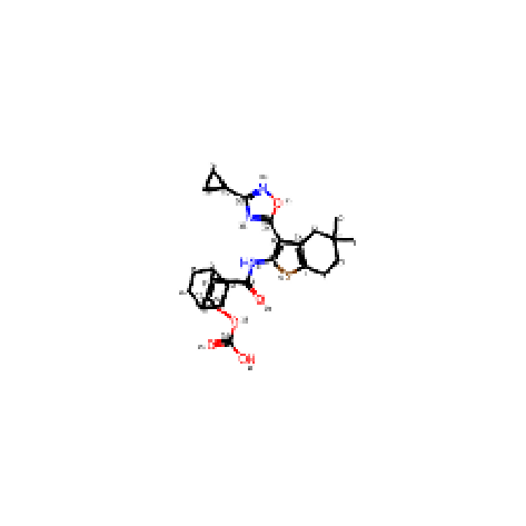 CC1(C)CCc2sc(NC(=O)C3=C(OC(=O)O)C4CCC3CC4)c(-c3nc(C4CC4)no3)c2C1